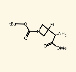 CCC1([C@H](N)C(=O)OC)CN(C(=O)OC(C)(C)C)C1